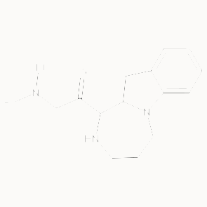 CCN(CC)CC(=O)C1NCCCN2c3ccccc3CC12